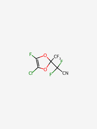 N#CC(F)(F)C1(C(F)(F)F)OC(F)=C(Cl)O1